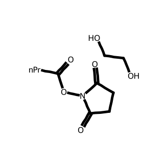 CCCC(=O)ON1C(=O)CCC1=O.OCCO